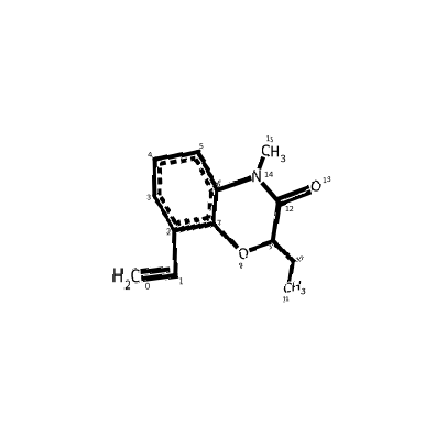 C=Cc1cccc2c1OC(CC)C(=O)N2C